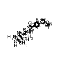 Cc1sc(NC(=O)[C@H](C)n2cnc3c2C(O)N(C)C(O)N3C)nc1-c1ccc(N2CC[C@H](OC(F)(F)F)C2)c(F)c1